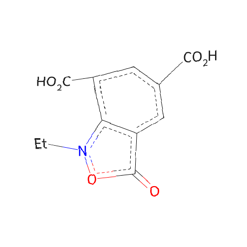 CCn1oc(=O)c2cc(C(=O)O)cc(C(=O)O)c21